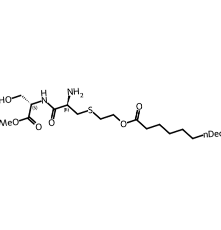 CCCCCCCCCCCCCCCC(=O)OCCSC[C@H](N)C(=O)N[C@@H](CO)C(=O)OC